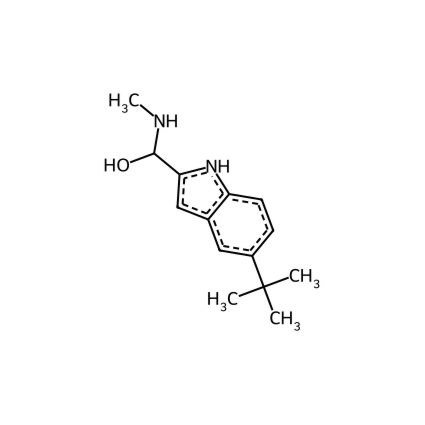 CNC(O)c1cc2cc(C(C)(C)C)ccc2[nH]1